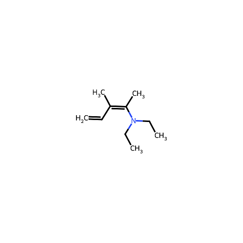 C=C/C(C)=C(/C)N(CC)CC